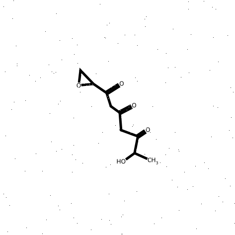 CC(O)C(=O)CC(=O)CC(=O)C1CO1